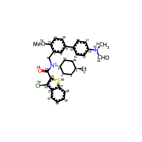 CC[C@H]1CC[C@H](N(Cc2cc(-c3ccc(N(C)C=O)cc3)ccc2OC)C(=O)c2sc3ccccc3c2Cl)CC1